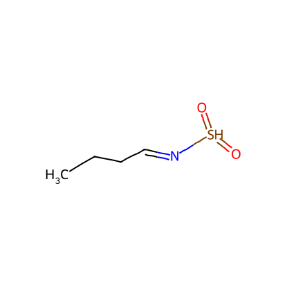 CCCC=N[SH](=O)=O